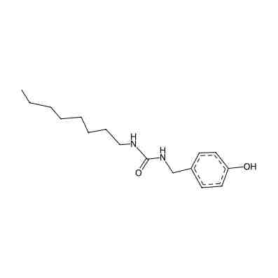 CCCCCCCCNC(=O)NCc1ccc(O)cc1